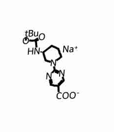 CC(C)(C)OC(=O)N[C@@H]1CCCN(c2ncc(C(=O)[O-])cn2)C1.[Na+]